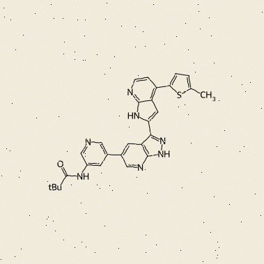 Cc1ccc(-c2ccnc3[nH]c(-c4n[nH]c5ncc(-c6cncc(NC(=O)C(C)(C)C)c6)cc45)cc23)s1